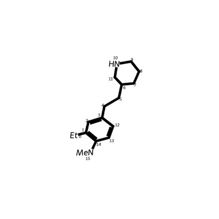 CCc1cc(CCC2CCCNC2)ccc1NC